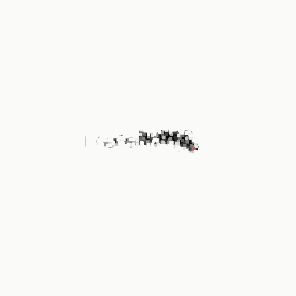 CCCOCCOCCOCCn1cc(-c2ccc3nc(N4CCC5(CC4)NC(=O)N(c4cccnc4)C5=O)ncc3c2)nn1